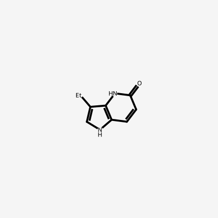 CCc1c[nH]c2ccc(=O)[nH]c12